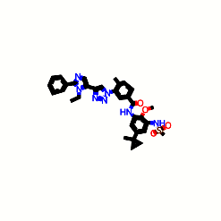 CCn1c(-c2cn(-c3cc(C(=O)Nc4cc(C5(C)CC5)cc(NS(C)(=O)=O)c4OC)ccc3C)nn2)cnc1-c1ccccc1